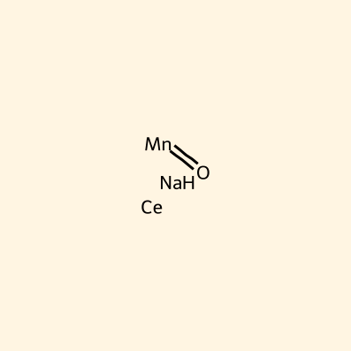 [Ce].[NaH].[O]=[Mn]